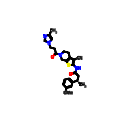 COc1cccc([C@@H](C)CC(=O)Nc2sc3c(c2C#N)CCN(C(=O)CCn2cnc(C)c2)C3)c1